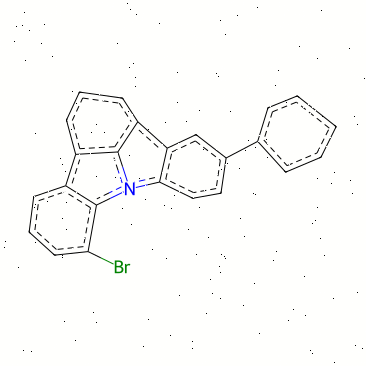 Brc1cccc2c3cccc4c5cc(-c6ccccc6)ccc5n(c12)c43